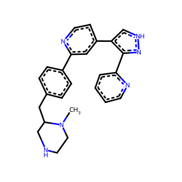 CN1CCNCC1Cc1ccc(-c2cc(-c3c[nH]nc3-c3ccccn3)ccn2)cc1